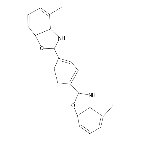 CC1=CC=CC2OC(C3=CC=C(C4NC5C(C)=CC=CC5O4)CC3)NC12